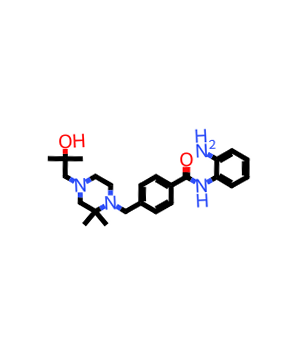 CC(C)(O)CN1CCN(Cc2ccc(C(=O)Nc3ccccc3N)cc2)C(C)(C)C1